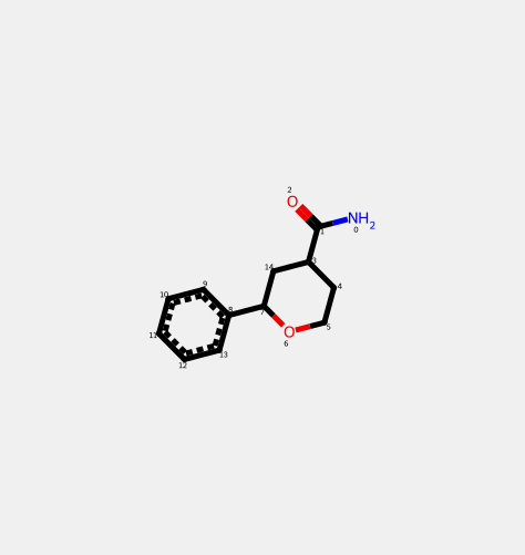 NC(=O)C1CCOC(c2ccccc2)C1